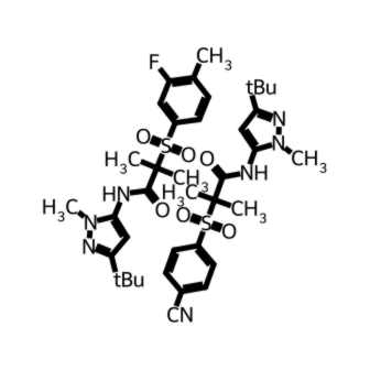 Cc1ccc(S(=O)(=O)C(C)(C)C(=O)Nc2cc(C(C)(C)C)nn2C)cc1F.Cn1nc(C(C)(C)C)cc1NC(=O)C(C)(C)S(=O)(=O)c1ccc(C#N)cc1